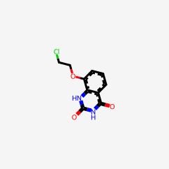 O=c1[nH]c(=O)c2cccc(OCCCl)c2[nH]1